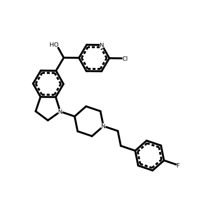 OC(c1ccc(Cl)nc1)c1ccc2c(c1)N(C1CCN(CCc3ccc(F)cc3)CC1)CC2